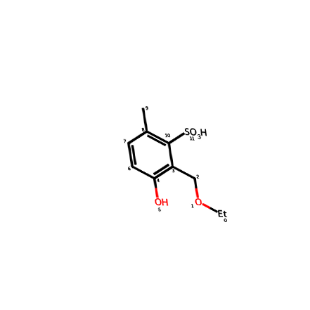 CCOCc1c(O)ccc(C)c1S(=O)(=O)O